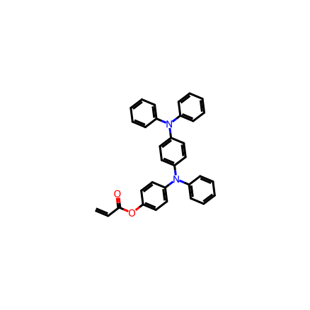 C=CC(=O)Oc1ccc(N(c2ccccc2)c2ccc(N(c3ccccc3)c3ccccc3)cc2)cc1